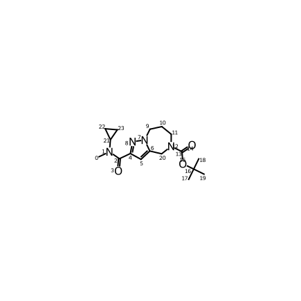 CN(C(=O)c1cc2n(n1)CCCN(C(=O)OC(C)(C)C)C2)C1CC1